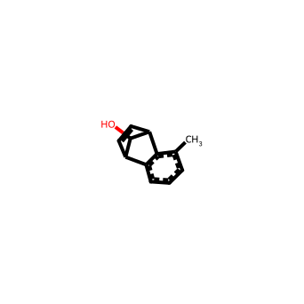 Cc1cccc2c1C1C=CC2C1O